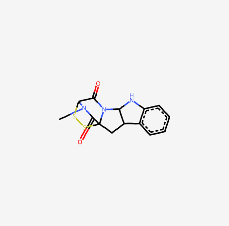 CN1C(=O)C23CC4c5ccccc5NC4N2C(=O)C1SS3